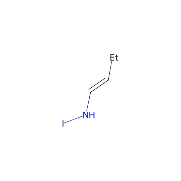 CCC=CNI